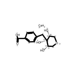 O=C(O)c1ccc(C[C@@]2(O)[C@H](O)COC[C@@H]2O)cc1.[CaH2]